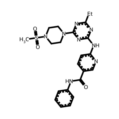 CCc1nc(Nc2ccc(C(=O)Nc3ccccc3)cn2)nc(N2CCN(S(C)(=O)=O)CC2)n1